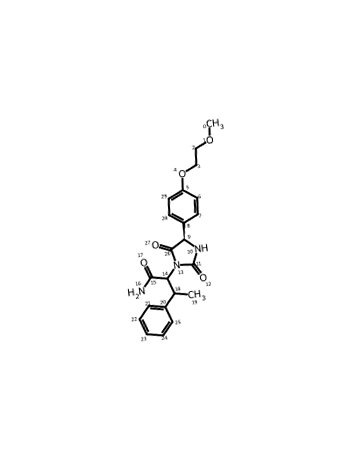 COCCOc1ccc([C@H]2NC(=O)N(C(C(N)=O)C(C)c3ccccc3)C2=O)cc1